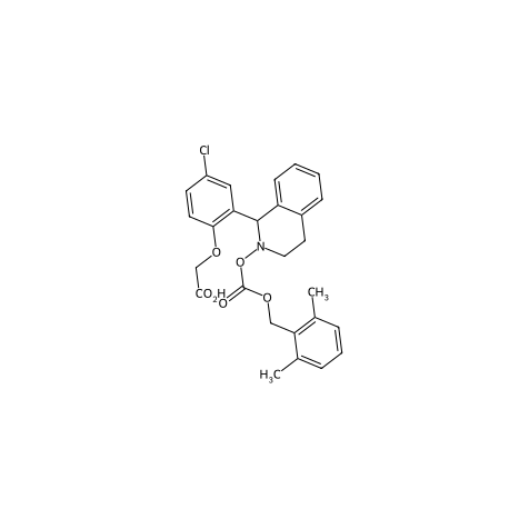 Cc1cccc(C)c1COC(=O)ON1CCc2ccccc2C1c1cc(Cl)ccc1OCC(=O)O